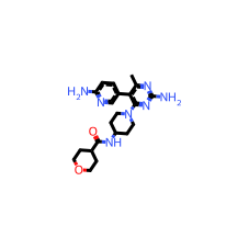 Cc1nc(N)nc(N2CCC(NC(=O)C3CCOCC3)CC2)c1-c1ccc(N)nc1